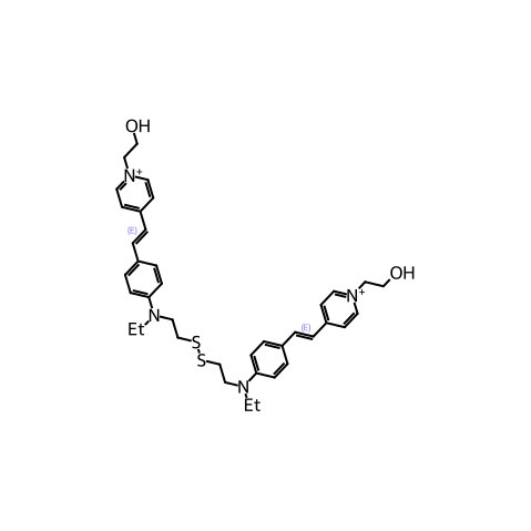 CCN(CCSSCCN(CC)c1ccc(/C=C/c2cc[n+](CCO)cc2)cc1)c1ccc(/C=C/c2cc[n+](CCO)cc2)cc1